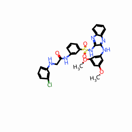 COc1cc(Nc2nc3ccccc3nc2NS(=O)(=O)c2cccc(NC(=O)CNc3cccc(Cl)c3)c2)cc(OC)c1